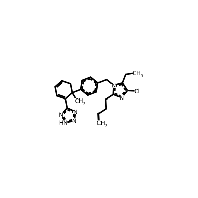 CCCCc1nc(Cl)c(CC)n1Cc1ccc(C2(C)CC=CC=C2c2nn[nH]n2)cc1